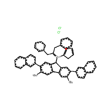 CC(C)(C)c1cc2c(cc1-c1ccc3ccccc3c1)[CH]([Zr+2]([C]1=CC=CC1)=[C](Cc1ccccc1)Cc1ccccc1)c1cc(-c3ccc4ccccc4c3)c(C(C)(C)C)cc1-2.[Cl-].[Cl-]